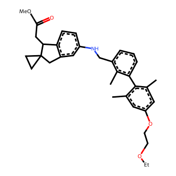 CCOCCOc1cc(C)c(-c2cccc(CNc3ccc4c(c3)CC3(CC3)C4CC(=O)OC)c2C)c(C)c1